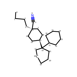 CCCC[C@]1(C#N)CC[C@@H](C2(C3CCCCC3)CCCCC2)CC1